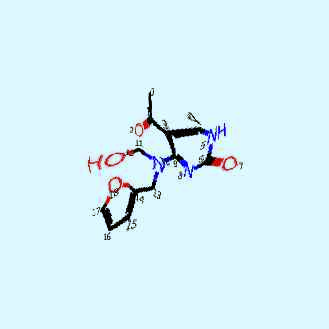 CC(=O)c1c[nH]c(=O)nc1N(CO)Cc1ccco1